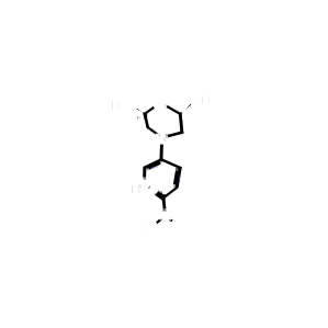 C=C(/C=C\C(=C/C)N1C[C@@H](C)O[C@@H](C)C1)B(O)O